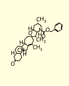 CC1=C2C[C@H]3C(CC[C@@H]4CC(=O)CC[C@@]43C)[C@@H]2CC[C@@]2(C1)O[C@@H]1C[C@H](C)CN(C(=O)OCc3ccccc3)[C@H]1C2C